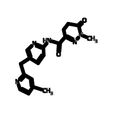 Cc1ccnc(Cc2ccc(NC(=O)C3=NN(C)C(=O)CC3)nc2)c1